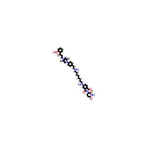 O=C1CCC(N2C(=O)c3ccc(NCCCCCCCCNCCc4ccc(N5C[C@H]6C[C@@H]5CN6/C=C/C(=O)c5ccccc5O)cc4)cc3C2=O)C(=O)N1